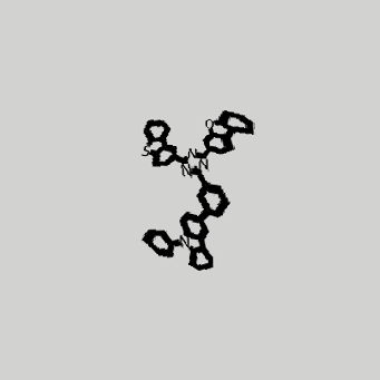 c1ccc(-n2c3ccccc3c3cc(-c4cccc(-c5nc(-c6ccc7c(c6)oc6ccccc67)nc(-c6ccc7sc8ccccc8c7c6)n5)c4)ccc32)cc1